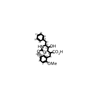 COc1ccccc1CC(CC(O)C(Cc1ccccc1)NC(=O)OC(C)(C)C)C(=O)O